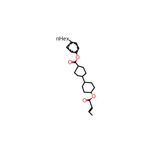 C/C=C/C(=O)OC1CCC(C2CCC(C(=O)Oc3ccc(CCCCCC)cc3)CC2)CC1